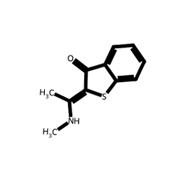 CN/C(C)=C1\Sc2ccccc2C1=O